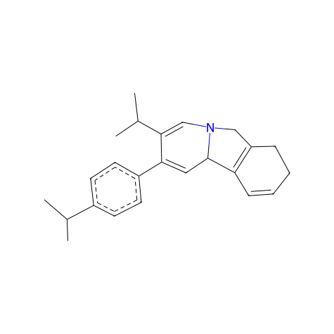 CC(C)C1=CN2CC3=C(C=CCC3)C2C=C1c1ccc(C(C)C)cc1